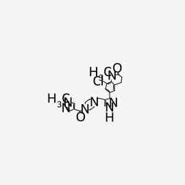 CN1C(=O)CCc2cc(-c3n[nH]cc3CN3CCN(C(=O)c4cnn(C)c4)CC3)cc(Cl)c21